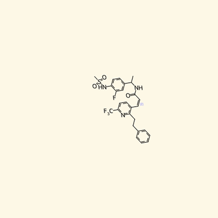 CC(NC(=O)/C=C\c1ccc(C(F)(F)F)nc1CCc1ccccc1)c1ccc(NS(C)(=O)=O)c(F)c1